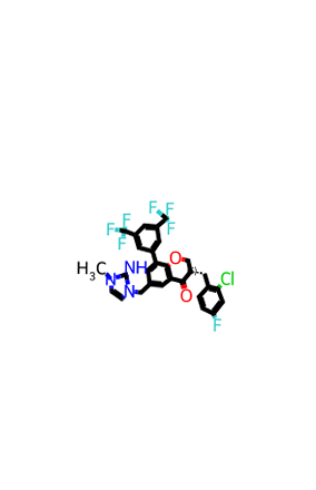 Cn1ccn(Cc2cc3c(c(-c4cc(C(F)(F)F)cc(C(F)(F)F)c4)c2)OC[C@H](Cc2ccc(F)cc2Cl)C3=O)c1=N